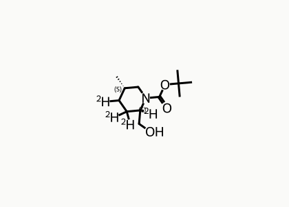 [2H]C1[C@H](C)CN(C(=O)OC(C)(C)C)[C@]([2H])(CO)C1([2H])[2H]